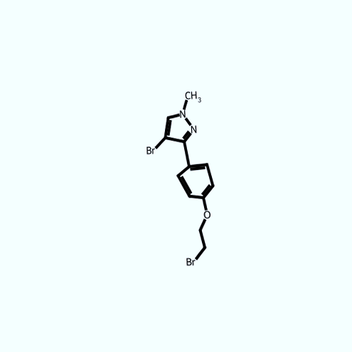 Cn1cc(Br)c(-c2ccc(OCCBr)cc2)n1